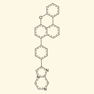 c1ccc2c(c1)Oc1ccc(-c3ccc(-c4cn5ccncc5n4)cc3)c3cccc-2c13